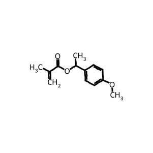 C=C(C)C(=O)OC(C)c1ccc(OC)cc1